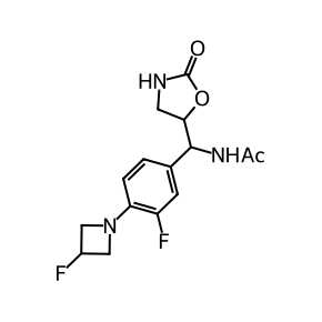 CC(=O)NC(c1ccc(N2CC(F)C2)c(F)c1)C1CNC(=O)O1